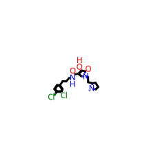 CN1CCCC1CCN1CC(C(=O)NCCCc2ccc(Cl)c(Cl)c2)=C(O)C1=O